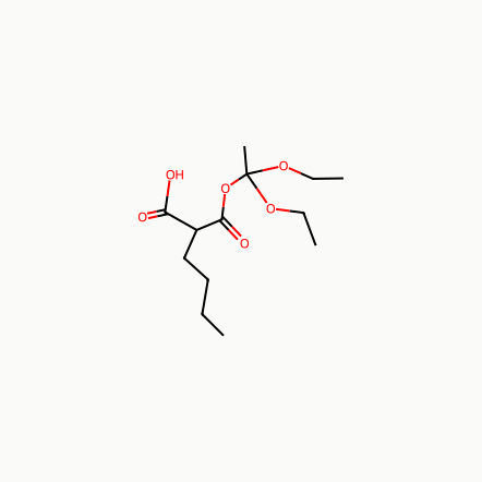 CCCCC(C(=O)O)C(=O)OC(C)(OCC)OCC